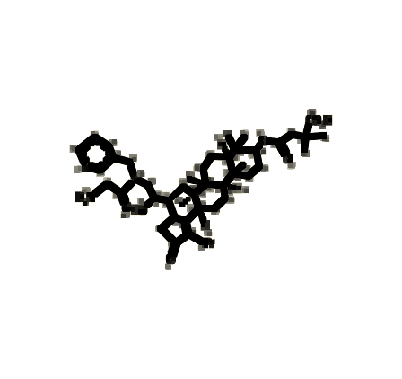 CC(C)C1=C2C(CC1=O)[C@@H]([C@@H](O)CN(Cc1cccnc1)C(=O)CN)C[C@]1(C)[C@@H]2CC[C@@H]2[C@@]3(C)CC[C@H](OC(=O)CC(C)(C)C(=O)O)C(C)(C)[C@@H]3CC[C@]21C